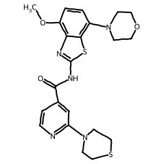 COc1ccc(N2CCOCC2)c2sc(NC(=O)c3ccnc(N4CCSCC4)c3)nc12